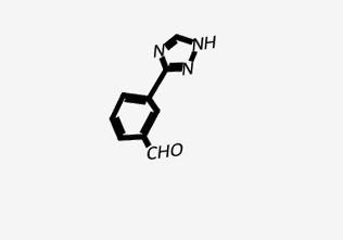 O=Cc1cccc(-c2nc[nH]n2)c1